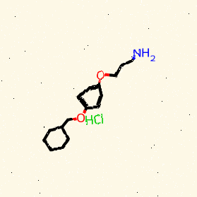 Cl.NCCCOc1ccc(OCC2CCCCC2)cc1